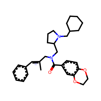 C/C(=C\c1ccccc1)CN(CC1CCCN1CC1CCCCC1)C(=O)c1ccc2c(c1)OCCO2